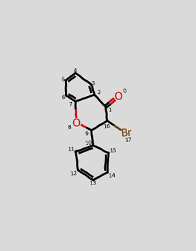 O=C1c2ccccc2OC(c2ccccc2)C1Br